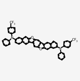 FC(F)(F)c1ccc(N(c2ccccc2)c2ccc3cc4c(cc3c2)oc2cc3c(cc24)oc2cc4cc(N(c5ccccc5)c5ccc(C(F)(F)F)cc5)ccc4cc23)cc1